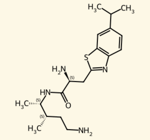 CC(C)c1ccc2nc(C[C@H](N)C(=O)N[C@@H](C)[C@@H](C)CCN)sc2c1